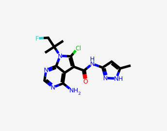 Cc1cc(NC(=O)c2c(Cl)n(C(C)(C)CF)c3ncnc(N)c23)n[nH]1